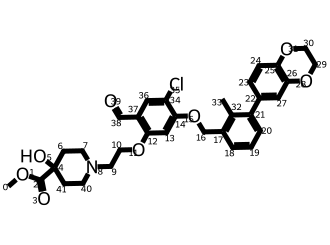 COC(=O)C1(O)CCN(CCOc2cc(OCc3cccc(-c4ccc5c(c4)OCCO5)c3C)c(Cl)cc2C=O)CC1